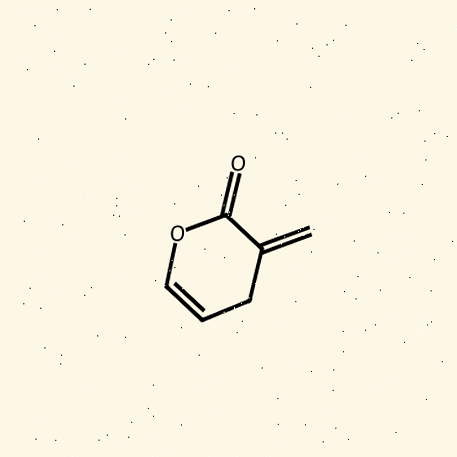 C=C1CC=COC1=O